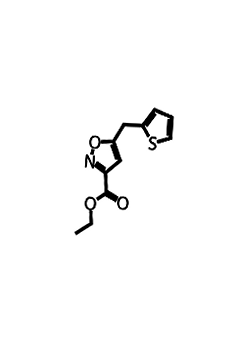 CCOC(=O)c1cc(Cc2cccs2)on1